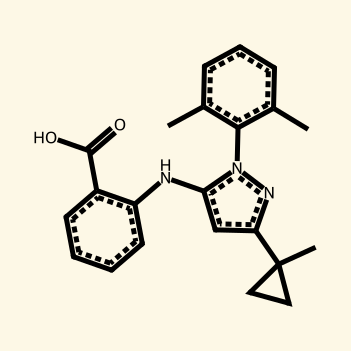 Cc1cccc(C)c1-n1nc(C2(C)CC2)cc1Nc1ccccc1C(=O)O